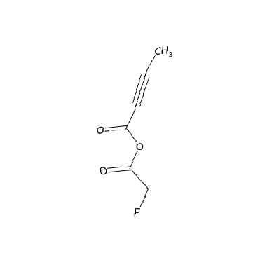 CC#CC(=O)OC(=O)CF